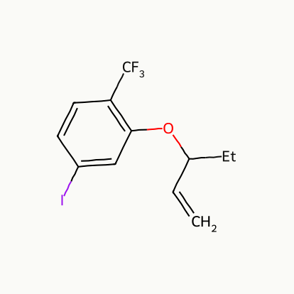 C=CC(CC)Oc1cc(I)ccc1C(F)(F)F